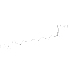 CCCCCCCC/C=C\CCCCCCCCOC(=O)O